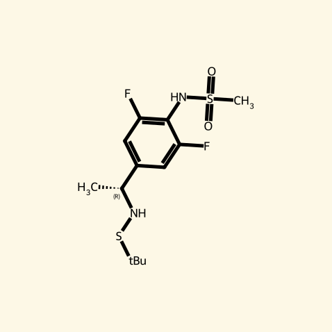 C[C@@H](NSC(C)(C)C)c1cc(F)c(NS(C)(=O)=O)c(F)c1